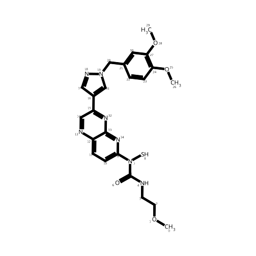 COCCNC(=O)N(S)c1ccc2ncc(-c3cnn(Cc4ccc(OC)c(OC)c4)c3)nc2n1